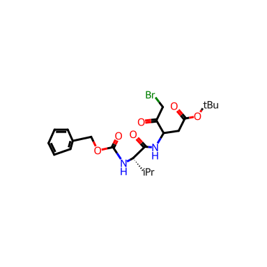 CC(C)[C@H](NC(=O)OCc1ccccc1)C(=O)NC(CC(=O)OC(C)(C)C)C(=O)CBr